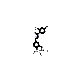 COc1ccc(/C=C/C(=O)c2ccc(Cl)cc2Cl)cc1CN(C)C